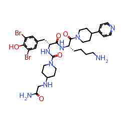 NCCCC[C@H](NC(=O)[C@@H](Cc1cc(Br)c(O)c(Br)c1)NC(=O)N1CCC(NCC(N)=O)CC1)C(=O)N1CCC(c2ccncc2)CC1